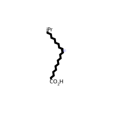 CC(C)CCCCCCC/C=C\CCCCCCCCCC(=O)O